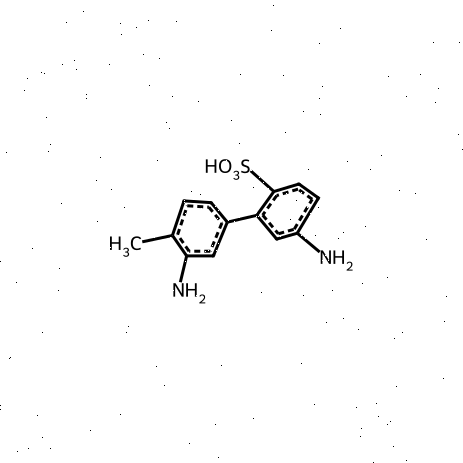 Cc1ccc(-c2cc(N)ccc2S(=O)(=O)O)cc1N